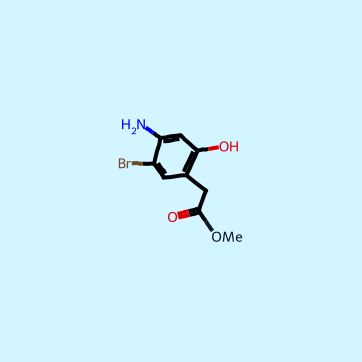 COC(=O)Cc1cc(Br)c(N)cc1O